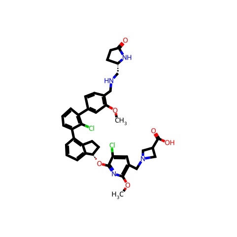 COc1cc(-c2cccc(-c3cccc4c3CC[C@@H]4Oc3nc(OC)c(CN4CC(C(=O)O)C4)cc3Cl)c2Cl)ccc1CNC[C@@H]1CCC(=O)N1